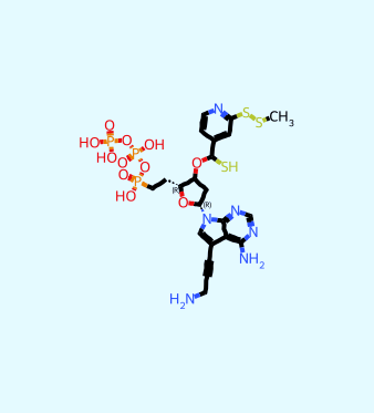 CSSc1cc(C(S)OC2C[C@H](n3cc(C#CCN)c4c(N)ncnc43)O[C@@H]2CCP(=O)(O)OP(=O)(O)OP(=O)(O)O)ccn1